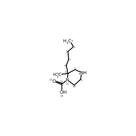 CCCCCC1(C)CNCCN1C(=O)O